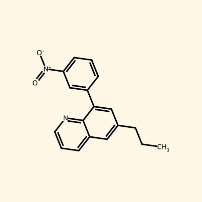 CCCc1cc(-c2cccc([N+](=O)[O-])c2)c2ncccc2c1